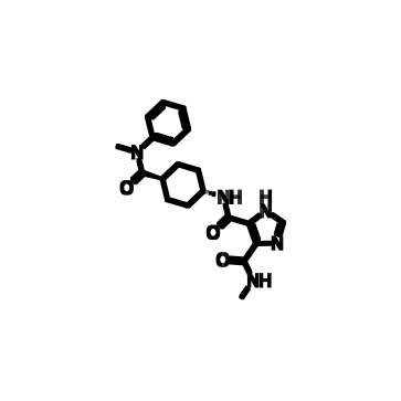 CNC(=O)c1nc[nH]c1C(=O)N[C@H]1CC[C@H](C(=O)N(C)c2ccccc2)CC1